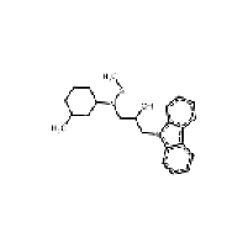 CSN(CC(O)Cn1c2ccccc2c2ccccc21)C1CCCC(C)C1